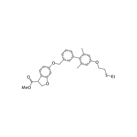 CCSCCOc1cc(C)c(-c2cccc(COc3ccc4c(c3)OCC4C(=O)OC)c2)c(C)c1